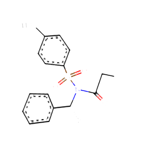 CCC(=O)N([C@H](C)c1ccccc1)S(=O)(=O)c1ccc(C)cc1